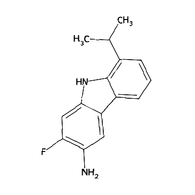 CC(C)c1cccc2c1[nH]c1cc(F)c(N)cc12